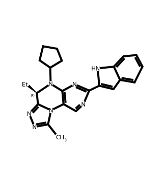 CC[C@@H]1c2nnc(C)n2-c2cnc(-c3cc4ccccc4[nH]3)nc2N1C1CCCC1